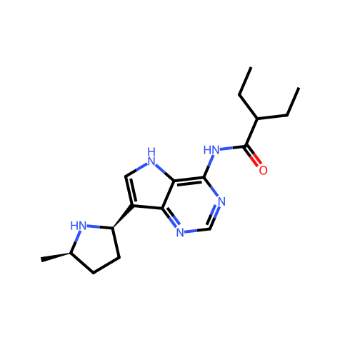 CCC(CC)C(=O)Nc1ncnc2c([C@H]3CC[C@@H](C)N3)c[nH]c12